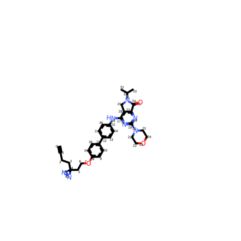 C#CCCC1(CCOc2ccc(-c3ccc(Nc4nc(N5CCOCC5)nc5c4CN(C(C)C)C5=O)cc3)cc2)N=N1